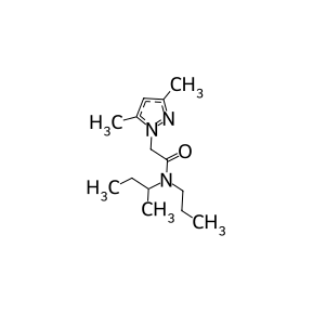 CCCN(C(=O)Cn1nc(C)cc1C)C(C)CC